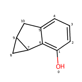 Oc1cccc2c1C1CC1C2